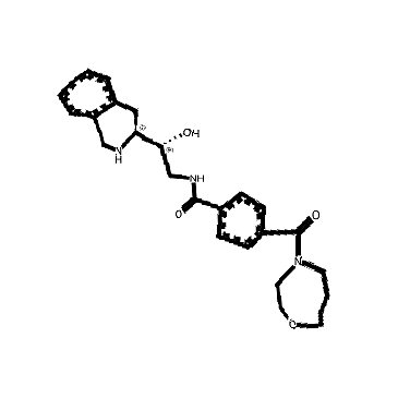 O=C(NC[C@@H](O)[C@@H]1Cc2ccccc2CN1)c1ccc(C(=O)N2CCCOCC2)cc1